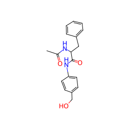 CC(=O)NC(Cc1ccccc1)C(=O)Nc1ccc(CO)cc1